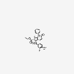 CCOC(=O)c1sc2c(ccc(=O)n2-c2ccccc2)c1Nc1ccc(OC)c(F)c1